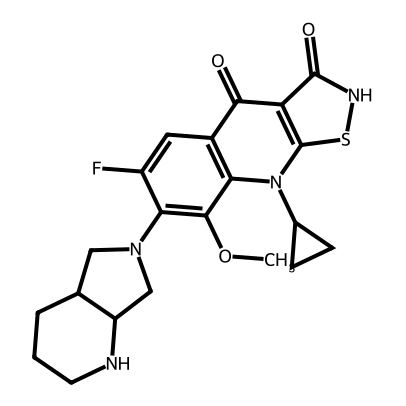 COc1c(N2CC3CCCNC3C2)c(F)cc2c(=O)c3c(=O)[nH]sc3n(C3CC3)c12